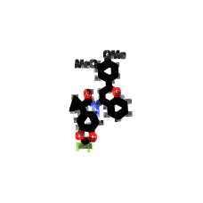 COc1ccc(C2CC(NC(=O)C3(c4ccc5c(c4)OC(F)(F)O5)CC3)c3ccccc3O2)cc1OC